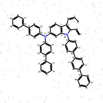 C=Cc1c(/C=C\C)c2ccc(N(c3ccc(-c4ccccc4)cc3)c3ccc(-c4ccccc4)cc3)cc2n1-c1ccc(-c2ccc(-c3ccccc3)cc2)cc1